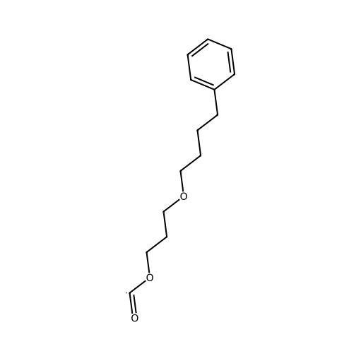 O=[C]OCCCOCCCCc1ccccc1